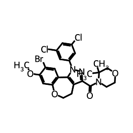 COc1cc2c(cc1Br)-c1c(c(C(=O)N3CCOCC3(C)C)nn1-c1cc(Cl)cc(Cl)c1)CCO2